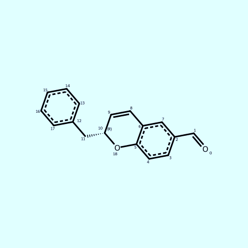 O=Cc1ccc2c(c1)C=C[C@@H](Cc1ccccc1)O2